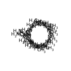 C=C1[C@H](CC(C)C)N(C)C(=O)[C@H](CC(C)C)N(C)C(=O)[C@@H](C)NC(=O)[C@H](C)NC(=O)[C@H](CC(C)C)N(C)C(=O)[C@H](C(C)C)NC(=O)[C@H](CC(C)C)N(C)C(=O)CN(C)C(=O)[C@H](CC)NC(=O)[C@H]([C@H](O)[C@H](C)Cc2nc3cc(N)c(N)cc3[nH]2)N(C)C(=O)[C@H](C(C)C)N1C